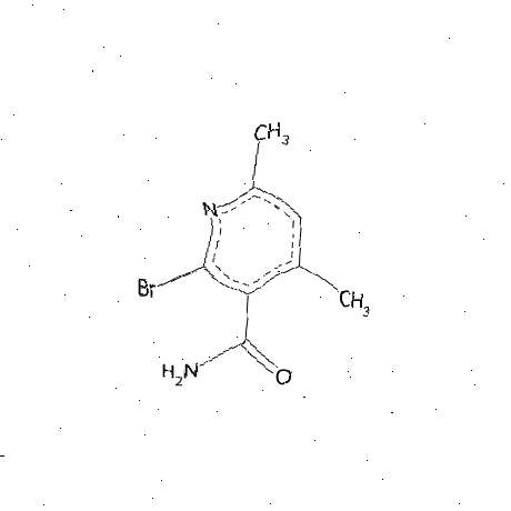 Cc1cc(C)c(C(N)=O)c(Br)n1